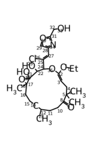 CCO/C1=C\CC(C)(C)C(=O)CCC(C)CCCC2(C)OC2(O)C(O)C(C(Cl)=Cc2coc(CO)n2)O1